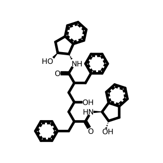 O=C(N[C@H]1c2ccccc2C[C@@H]1O)C(Cc1ccccc1)CC(O)CC(Cc1ccccc1)C(=O)N[C@H]1c2ccccc2C[C@@H]1O